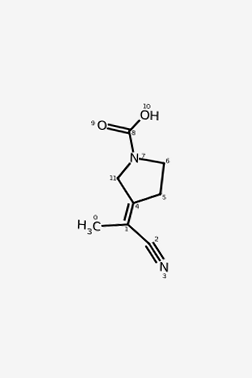 C/C(C#N)=C1/CCN(C(=O)O)C1